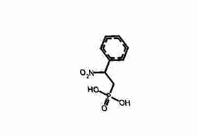 O=[N+]([O-])C(CP(=O)(O)O)c1ccccc1